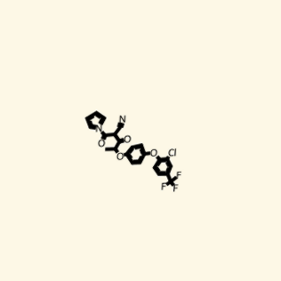 CC(Oc1ccc(Oc2ccc(C(F)(F)F)cc2Cl)cc1)C(=O)C(C#N)C(=O)n1cccc1